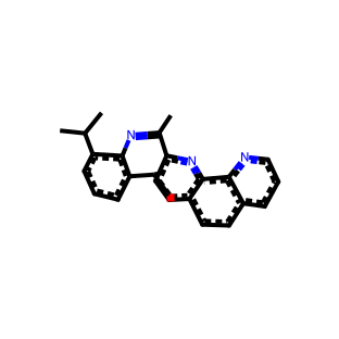 C/C(=N/c1c(C(C)C)cccc1C(C)C)c1ccc2ccc3cccnc3c2n1